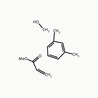 C=CC(=O)OC.CO.Cc1cccc(C)c1